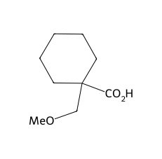 COCC1(C(=O)O)CCCCC1